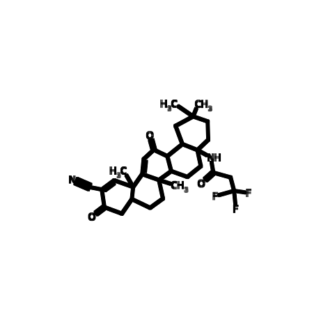 CC1(C)CCC2(NC(=O)CC(F)(F)F)CCC3C(C(=O)C=C4C5(C)C=C(C#N)C(=O)CC5CCC43C)C2C1